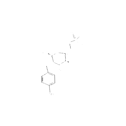 Nc1ccc(O[C@H]2[C@@H](O)[C@H](O)[C@@H](COP(=O)(O)O)O[C@@H]2O)cc1